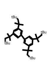 CC(C)(C)CC(C)(C)c1[c]c(-c2[c]c(C(C)(C)CC(C)(C)C)cc(C(C)(C)CC(C)(C)C)c2)cc(C(C)(C)CC(C)(C)C)c1